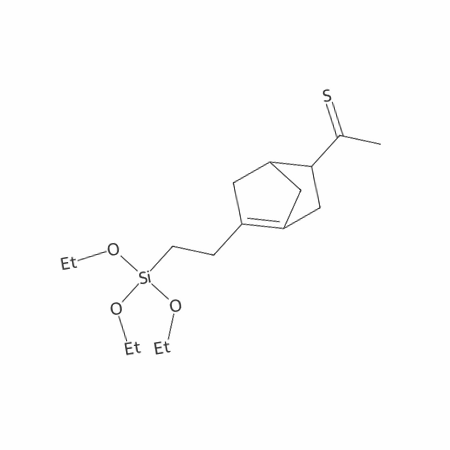 CCO[Si](CCC1=C2CC(C1)C(C(C)=S)C2)(OCC)OCC